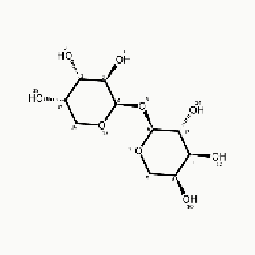 O[C@@H]1[C@@H](O)[C@@H](O[C@@H]2OC[C@H](O)[C@H](O)[C@H]2O)OC[C@@H]1O